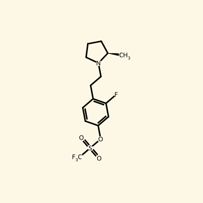 C[C@@H]1CCCN1CCc1ccc(OS(=O)(=O)C(F)(F)F)cc1F